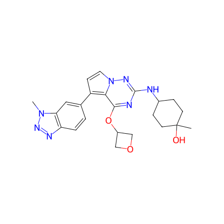 Cn1nnc2ccc(-c3ccn4nc(NC5CCC(C)(O)CC5)nc(OC5COC5)c34)cc21